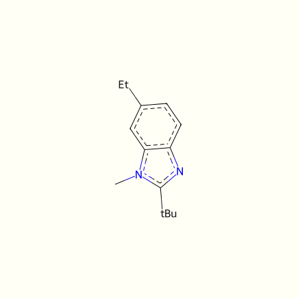 CCc1ccc2nc(C(C)(C)C)n(C)c2c1